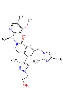 CCOc1cc([C@H](C)N2CCc3c(cc(Cn4cc(C)nc4C)cc3-c3cn(CCO)nc3C)C2=O)ncc1C#N